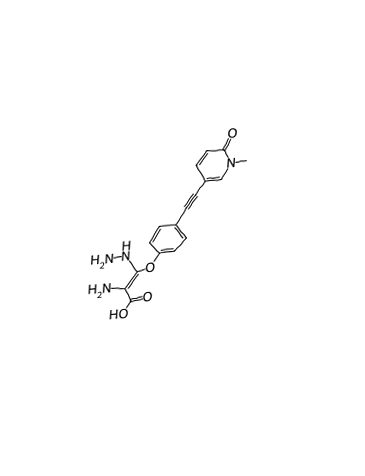 Cn1cc(C#Cc2ccc(O/C(NN)=C(/N)C(=O)O)cc2)ccc1=O